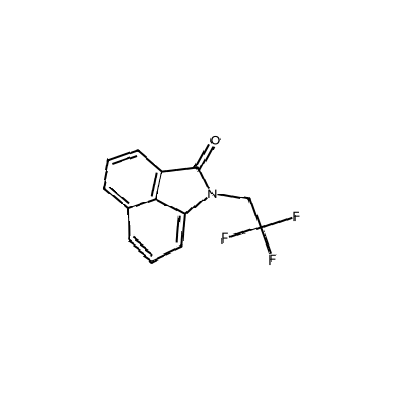 O=C1c2cccc3cccc(c23)N1CC(F)(F)F